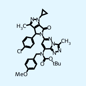 COc1ccc(CN(C(=O)OC(C)(C)C)c2cc(N3C(=O)c4c(c(C)nn4C4CC4)C3c3ccc(Cl)cc3)nn3c(C)nnc23)cc1